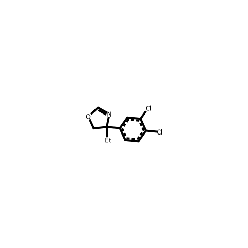 CCC1(c2ccc(Cl)c(Cl)c2)COC=N1